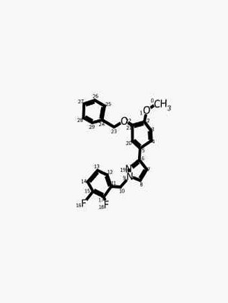 COc1ccc(-c2ccn(Cc3cccc(F)c3F)n2)cc1OCc1ccccc1